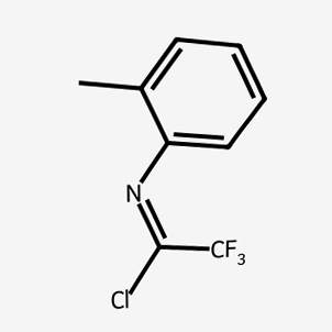 Cc1ccccc1/N=C(/Cl)C(F)(F)F